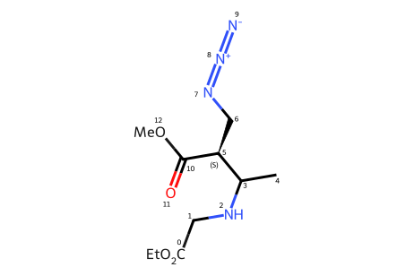 CCOC(=O)CNC(C)[C@H](CN=[N+]=[N-])C(=O)OC